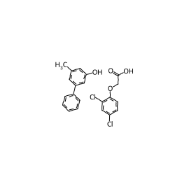 Cc1cc(O)cc(-c2ccccc2)c1.O=C(O)COc1ccc(Cl)cc1Cl